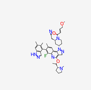 COC/C=C/C(=O)N1CC[C@H](n2ncc3c(OC(C)[C@@H]4CCCN4C)nc4c(F)c(-c5c(C)c(C)cc6[nH]ncc56)c(C)cc4c32)C[C@H]1CC#N